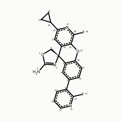 NC1=N[C@@]2(CO1)c1cc(-c3cccnc3F)ccc1Oc1c2cc(C2CC2)nc1F